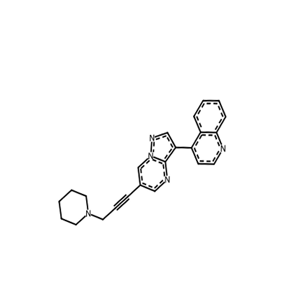 C(#Cc1cnc2c(-c3ccnc4ccccc34)cnn2c1)CN1CCCCC1